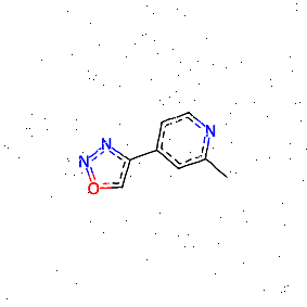 Cc1cc(-c2conn2)ccn1